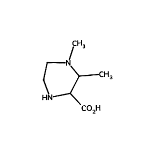 CC1C(C(=O)O)NCCN1C